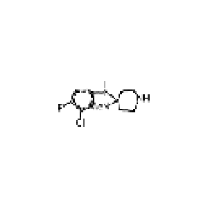 CNC1(Nc2ccc(F)c(Cl)c2)CCNCC1